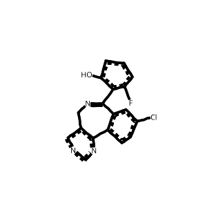 Oc1cccc(F)c1C1=NCc2cncnc2-c2ccc(Cl)cc21